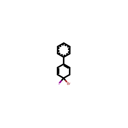 BrC1(I)C=CC(c2ccccc2)=CC1